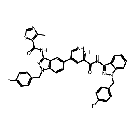 Cc1ncsc1C(=O)Nc1nn(Cc2ccc(F)cc2)c2ccc(/C(C=N)=C/C(=N)C(=O)Nc3nn(Cc4ccc(F)cc4)c4ccccc34)cc12